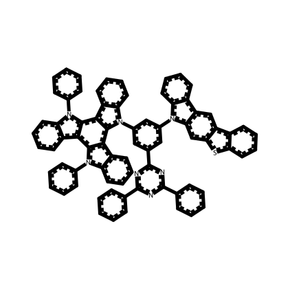 c1ccc(-c2nc(-c3ccccc3)nc(-c3cc(-n4c5ccccc5c5cc6c(cc54)sc4ccccc46)cc(-n4c5ccccc5c5c6c(c7ccccc7n6-c6ccccc6)c6c(c7ccccc7n6-c6ccccc6)c54)c3)n2)cc1